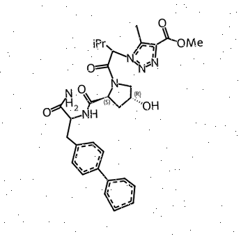 COC(=O)c1nnn(C(C(=O)N2C[C@H](O)C[C@H]2C(=O)NC(Cc2ccc(-c3ccccc3)cc2)C(N)=O)C(C)C)c1C